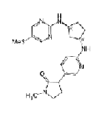 CSc1cnc(N[C@H]2CC[C@H](Nc3ccc(C4CCN(C)C4=O)cn3)C2)nc1